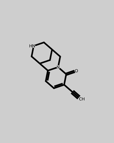 C#Cc1ccc2n(c1=O)CC1CNCC2C1